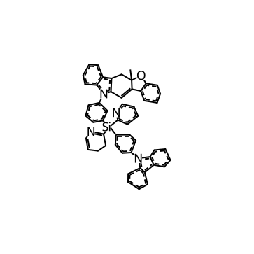 CC12Cc3c(n(-c4cccc([Si](C5=NC=CCC5)(c5ccc(-n6c7ccccc7c7ccccc76)cc5)c5ccccn5)c4)c4ccccc34)C=C1c1ccccc1O2